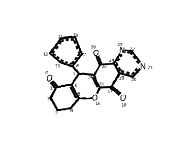 O=C1CCCC2=C1C(c1ccccc1)C1=C(O2)C(=O)c2cncnc2C1=O